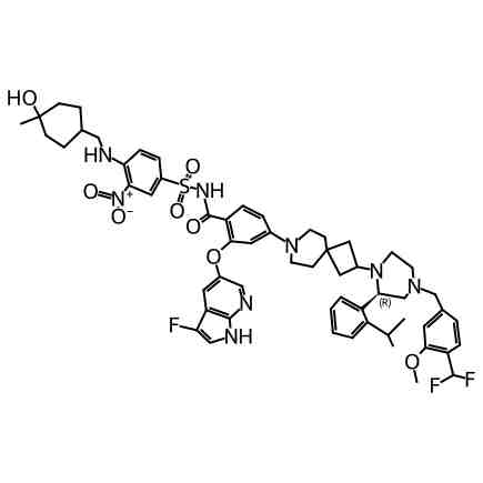 COc1cc(CN2CCN(C3CC4(CCN(c5ccc(C(=O)NS(=O)(=O)c6ccc(NCC7CCC(C)(O)CC7)c([N+](=O)[O-])c6)c(Oc6cnc7[nH]cc(F)c7c6)c5)CC4)C3)[C@H](c3ccccc3C(C)C)C2)ccc1C(F)F